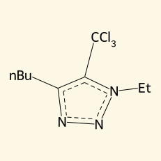 CCCCc1nnn(CC)c1C(Cl)(Cl)Cl